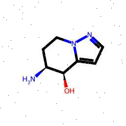 N[C@H]1CCn2nccc2[C@H]1O